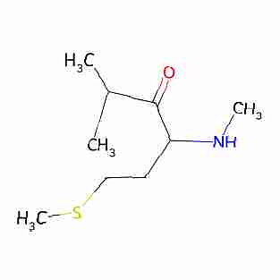 CNC(CCSC)C(=O)C(C)C